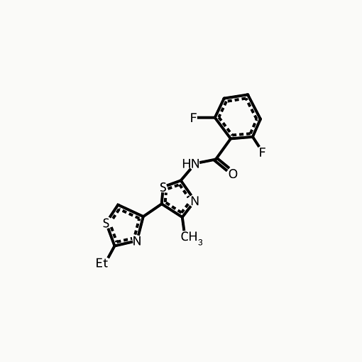 CCc1nc(-c2sc(NC(=O)c3c(F)cccc3F)nc2C)cs1